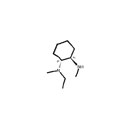 CCN(C)[C@@H]1CCCC[C@H]1NC